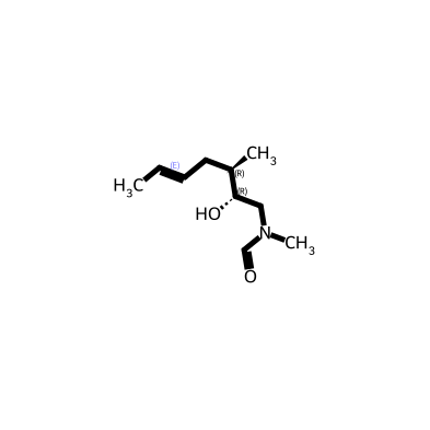 C/C=C/C[C@@H](C)[C@@H](O)CN(C)C=O